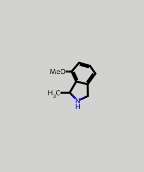 COc1cccc2c1C(C)NC2